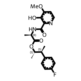 COc1ccnc(C(=O)N[C@H](C)C(=O)O[C@@H](C)[C@@H](C)c2ccc(F)cc2)c1O